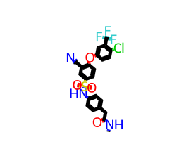 CNC(=O)Cc1ccc(NS(=O)(=O)c2ccc(Oc3ccc(Cl)c(C(F)(F)F)c3)c(C#N)c2)cc1